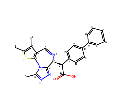 Cc1sc2c(c1C)C=N[C@@H](C(C(=O)O)c1ccc(-c3ccccc3)cc1)c1nnc(C)n1-2